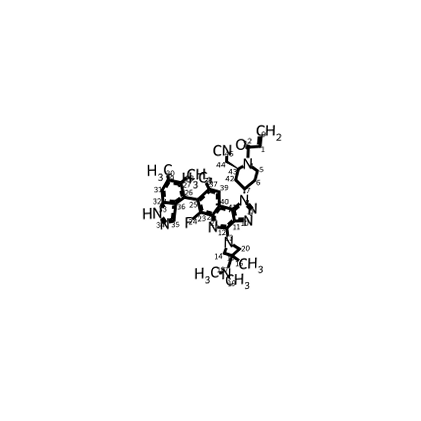 C=CC(=O)N1CC[C@H](n2nnc3c(N4CC(C)(N(C)C)C4)nc4c(F)c(-c5c(C)c(C)cc6[nH]ncc56)c(C)cc4c32)C[C@H]1CC#N